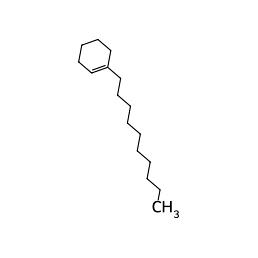 CCCCCCCCCCC1=CCCCC1